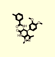 COc1ccc([C@H]2c3c(C)nn(C)c3NC(=O)[C@@H]2NC(=O)c2cccc(C)c2)cc1OC